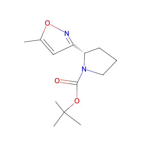 Cc1cc([C@@H]2CCCN2C(=O)OC(C)(C)C)no1